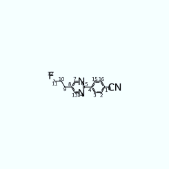 N#Cc1ccc(-c2ncc(CCCF)cn2)cc1